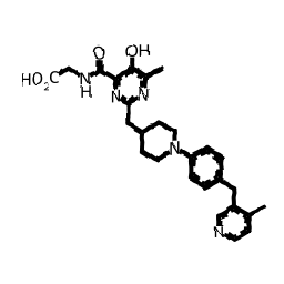 Cc1ccncc1Cc1ccc(N2CCC(Cc3nc(C)c(O)c(C(=O)NCC(=O)O)n3)CC2)cc1